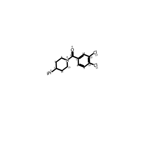 CC(C)C1CCN(C(=O)c2ccc(Cl)c(Cl)c2)CC1